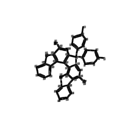 Cc1ccc(C2(c3ccc(C)cc3)c3cc(Br)c4c(oc5ccccc54)c3-c3c2nc(Br)c2oc4ccccc4c32)cc1